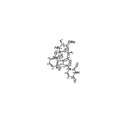 COC(=O)[C@H](C)NP(=O)(Oc1ccccc1)O[C@@H](C)[C@H]1O[C@@H](n2ccc(=O)[nH]c2=O)[C@H](O)[C@@H]1O